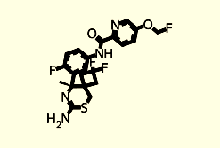 C[C@]1(c2cc(NC(=O)c3ccc(OCF)cn3)ccc2F)N=C(N)SCC12CC(F)(F)C2